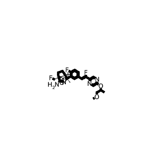 COCC(C)Oc1cnc(/C(F)=C/c2ccc(F)c([C@@]3(C)N=C(N)[C@@]4(CF)CC[C@@H]3S4(=O)=O)c2)cn1